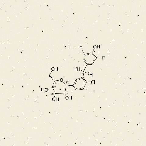 [2H]C([2H])(c1cc(F)c(O)c(F)c1)c1cc([C@@H]2O[C@H](CO)[C@@H](O)[C@H](O)[C@H]2O)ccc1Cl